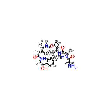 CO[C@H]([C@@H](C)C(=O)N[C@H](C)[C@@H](O)c1ccccc1)[C@@H]1CCCN1C(=O)C[C@@H](OC)[C@H](C1CCC1)N(C)C(=O)[C@@H](NC(=O)C(C)(C)N)C(C)C